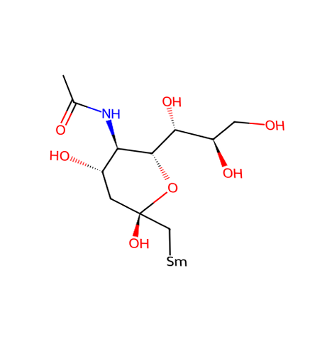 CC(=O)N[C@H]1[C@H]([C@H](O)[C@H](O)CO)O[C@](O)([CH2][Sm])C[C@@H]1O